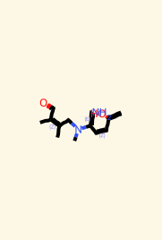 C=C(O)/C=C\C(=C/N)N(C)C/C(C)=C(/C)C=O